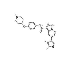 Cc1ncc(-c2ccc3[nH]nc(C(=O)Nc4ccc(OC5CCN(C)CC5)cc4)c3c2)n1C